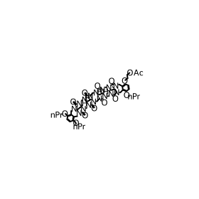 CCCOc1ccc(OCCC)c2c1CN1C(=O)N3CN4C(=O)N5CN6C(=O)N7CN8C(=O)N9Cc%10c(OCCC)ccc(OCCOC(C)=O)c%10CN%10C(=O)N(CN%11C(=O)N(CN%12C(=O)N(CN%13C(=O)N(C2)[C@]1(C)[C@@]3%13C)[C@@H]4[C@@H]5%12)[C@@H]6[C@@H]7%11)[C@]8(C)[C@@]9%10C